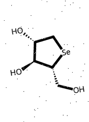 OC[C@H]1[Se]C[C@@H](O)[C@@H]1O